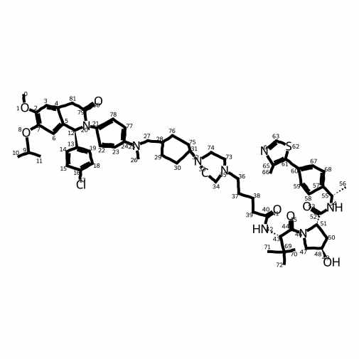 COc1cc2c(cc1OC(C)C)[C@H](c1ccc(Cl)cc1)N(c1ccc(N(C)CC3CCC(N4CCN(CCCCC(=O)N[C@H](C(=O)N5C[C@H](O)C[C@H]5C(=O)N[C@@H](C)c5ccc(-c6scnc6C)cc5)C(C)(C)C)CC4)CC3)cc1)C(=O)C2